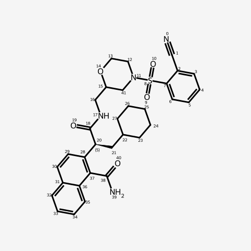 N#Cc1ccccc1S(=O)(=O)N1CCOC(CNC(=O)[C@@H](CC2CCCCC2)c2ccc3ccccc3c2C(N)=O)C1